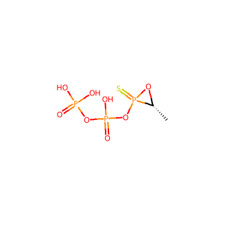 C[C@H]1OP1(=S)OP(=O)(O)OP(=O)(O)O